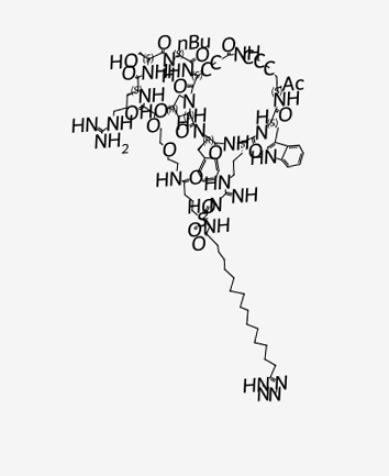 CCCC[C@H](NC(=O)[C@H](CO)NC(=O)[C@H](CCCNC(=N)N)NC(=O)COCCOCCNC(=O)CCCS(=O)(=O)NC(=O)CCCCCCCCCCCCCCCc1nnn[nH]1)C(=O)N[C@H]1CCC(=O)NCCCC[C@@H](C(C)=O)NC(=O)[C@H](Cc2c[nH]c3ccccc23)NC(=O)[C@H](CCCNC(=N)N)NC(=O)[C@@H](Cc2ccccc2)NC(=O)[C@@H]2C[C@@H](O)CN2C1=O